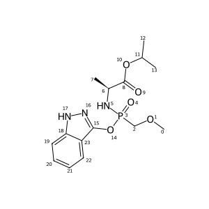 COCP(=O)(N[C@@H](C)C(=O)OC(C)C)Oc1n[nH]c2ccccc12